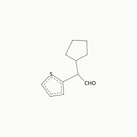 O=CC(c1cccs1)C1CCCC1